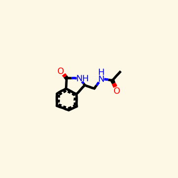 CC(=O)NCC1NC(=O)c2ccccc21